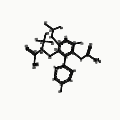 Cc1ccc(-c2c(CC(N)=O)c(C)nc(CC(C)C)c2CN(C(=O)O)C(C)(C)C)cc1